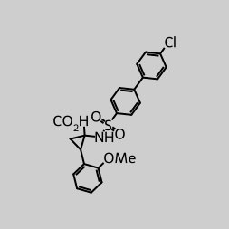 COc1ccccc1C1CC1(NS(=O)(=O)c1ccc(-c2ccc(Cl)cc2)cc1)C(=O)O